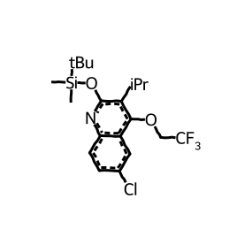 CC(C)c1c(O[Si](C)(C)C(C)(C)C)nc2ccc(Cl)cc2c1OCC(F)(F)F